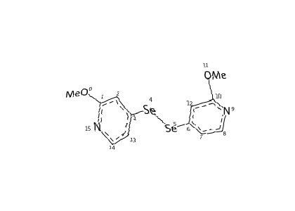 COc1cc([Se][Se]c2ccnc(OC)c2)ccn1